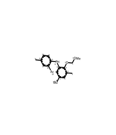 COCOc1c(C)cc(C(C)(C)C)cc1Pc1ccc(C)cc1C(C)=O